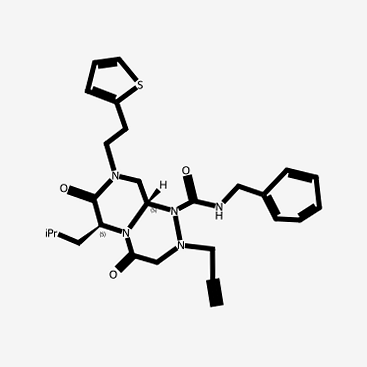 C#CCN1CC(=O)N2[C@@H](CC(C)C)C(=O)N(CCc3cccs3)C[C@@H]2N1C(=O)NCc1ccccc1